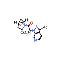 CC(=O)c1nn(CC(=O)N2C(C(=O)O)C[C@H]3C[C@@H]32)c2cnccc12